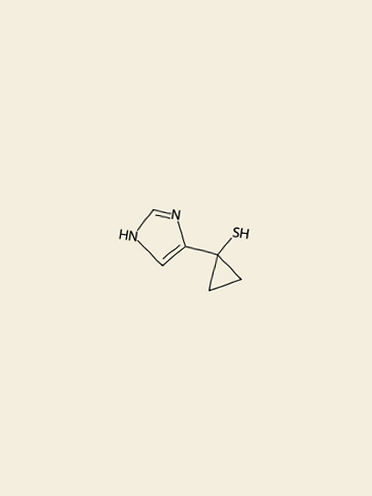 SC1(c2c[nH]cn2)CC1